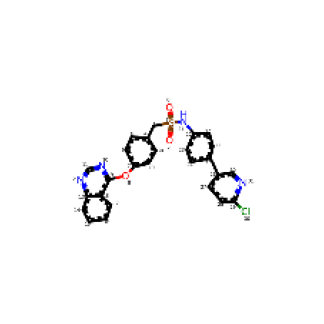 O=S(=O)(Cc1ccc(Oc2ncnc3ccccc23)cc1)Nc1ccc(-c2ccc(Cl)nc2)cc1